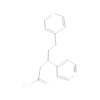 NC(=O)CC(CCc1ccncc1)c1ccncc1